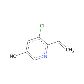 C=Cc1ncc(C#N)cc1Cl